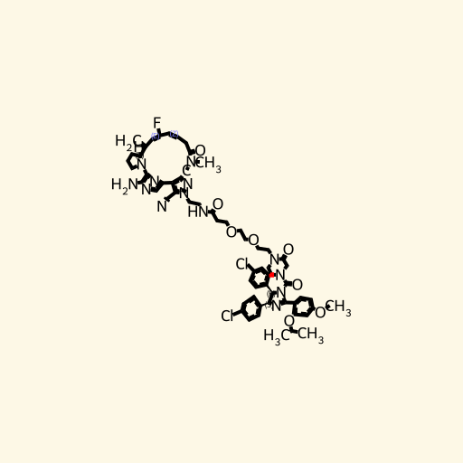 C=C1/C=C(F)\C=C/CC(=O)N(C)Cc2nn(CCNC(=O)CCOCCOCCN3CCN(C(=O)N4C(c5ccc(OC)cc5OC(C)C)=N[C@@H](c5ccc(Cl)cc5)[C@H]4c4ccc(Cl)cc4)CC3=O)c(C#N)c2-c2cnc(N)c(n2)N2CCC[C@H]12